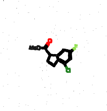 COC(=O)C1CCc2c(Cl)cc(F)cc21